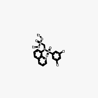 CCOP(=O)(CN(c1cccc2cccnc12)S(=O)(=O)c1cc(Cl)cc(Cl)c1)OCC